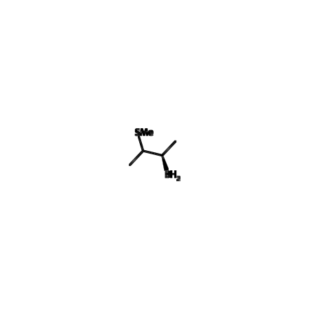 B[C@H](C)C(C)SC